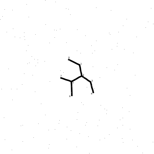 CC[C](CC)C(C)C